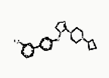 Cc1cccc(-c2ccc(SN3CCN=C3N3CCN(C4CCC4)CC3)cc2)c1